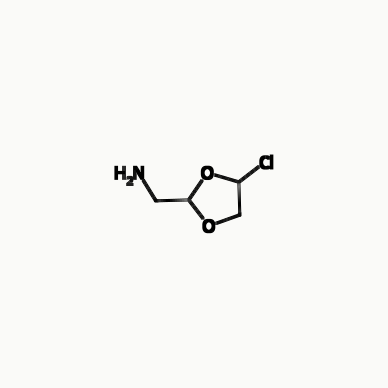 NCC1OCC(Cl)O1